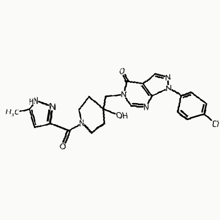 Cc1cc(C(=O)N2CCC(O)(Cn3cnc4c(cnn4-c4ccc(Cl)cc4)c3=O)CC2)n[nH]1